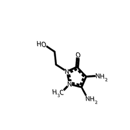 Cn1c(N)c(N)c(=O)n1CCO